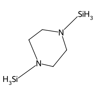 [SiH3]N1CCN([SiH3])CC1